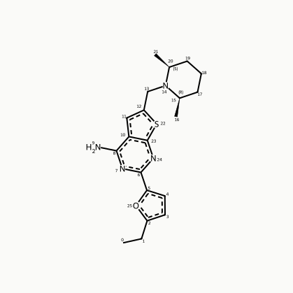 CCc1ccc(-c2nc(N)c3cc(CN4[C@H](C)CCC[C@@H]4C)sc3n2)o1